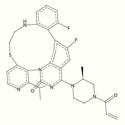 C=CC(=O)N1CCN(c2nc(=O)n3c4cc(c(F)cc24)-c2c(F)cccc2NCCSc2ccnc(C(C)C)c2-3)[C@@H](C)C1